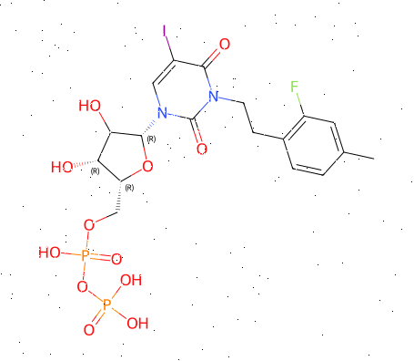 Cc1ccc(CCn2c(=O)c(I)cn([C@@H]3O[C@H](COP(=O)(O)OP(=O)(O)O)[C@H](O)C3O)c2=O)c(F)c1